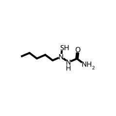 CCCCCN(S)NC(N)=O